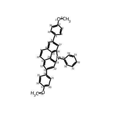 COc1ccc(-c2cc3ccc4cc(-c5ccc(OC)cc5)cc5c4c3c(c2)n5-c2ccccc2)cc1